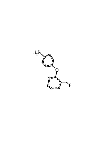 Nc1ccc(Oc2ncccc2CF)cc1